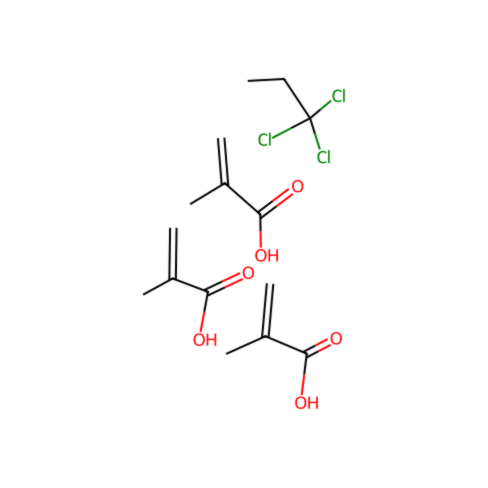 C=C(C)C(=O)O.C=C(C)C(=O)O.C=C(C)C(=O)O.CCC(Cl)(Cl)Cl